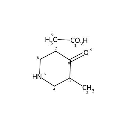 CC(=O)O.CC1CNCCC1=O